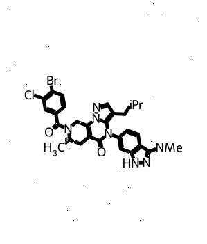 CNc1n[nH]c2cc(-n3c(=O)c4c(n5ncc(CC(C)C)c35)CN(C(=O)c3ccc(Br)c(Cl)c3)[C@H](C)C4)ccc12